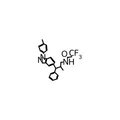 Cc1ccc(-n2ncc3cc(C(c4ccccc4)C(C)CNC(=O)CC(F)(F)F)ccc32)cc1